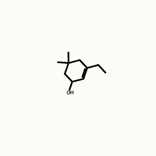 CCC1=CC(O)CC(C)(C)C1